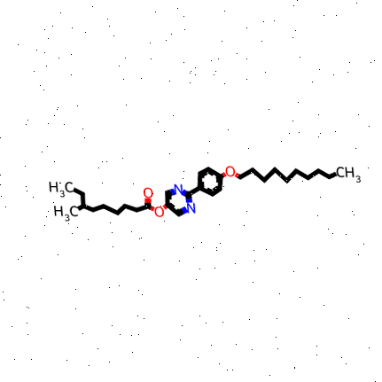 CCCCCCCCCCOc1ccc(-c2ncc(OC(=O)CCCCCC(C)CC)cn2)cc1